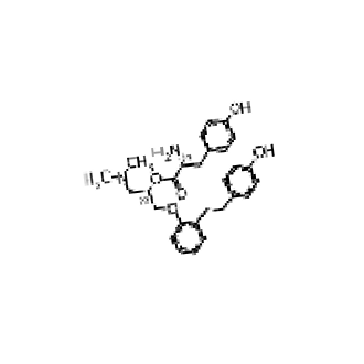 CN(C)C[C@H](COc1ccccc1CCc1ccc(O)cc1)OC(=O)[C@H](N)Cc1ccc(O)cc1